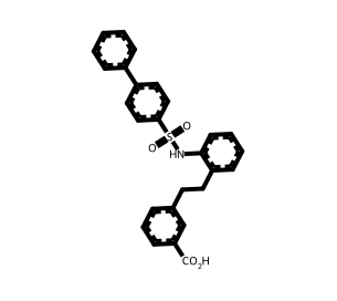 O=C(O)c1cccc(CCc2ccccc2NS(=O)(=O)c2ccc(-c3ccccc3)cc2)c1